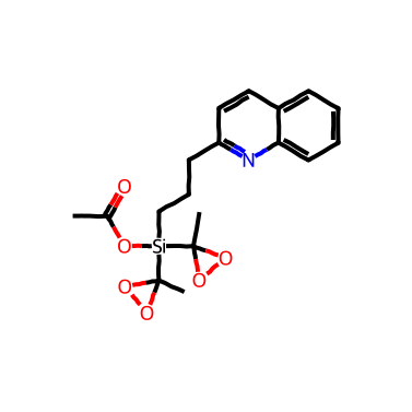 CC(=O)O[Si](CCCc1ccc2ccccc2n1)(C1(C)OO1)C1(C)OO1